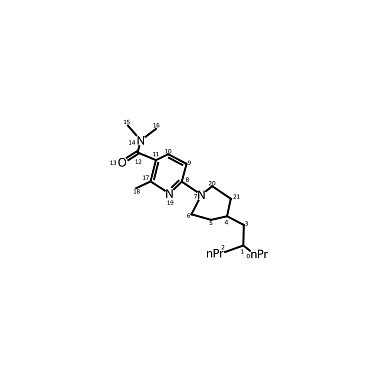 CCCC(CCC)CC1CCN(c2ccc(C(=O)N(C)C)c(C)n2)CC1